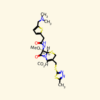 CO[C@@]1(NC(=O)Cc2ccc(CN(C)C)s2)C(=O)N2C(C(=O)O)=C(CSc3nnc(C)s3)CS[C@H]21